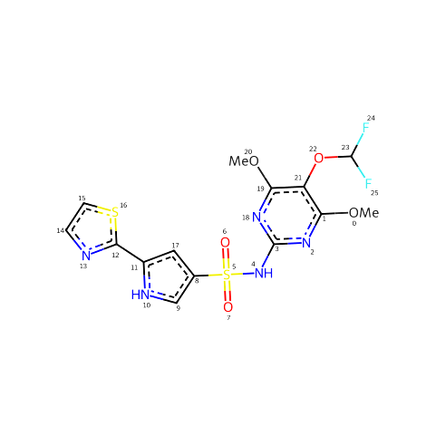 COc1nc(NS(=O)(=O)c2c[nH]c(-c3nccs3)c2)nc(OC)c1OC(F)F